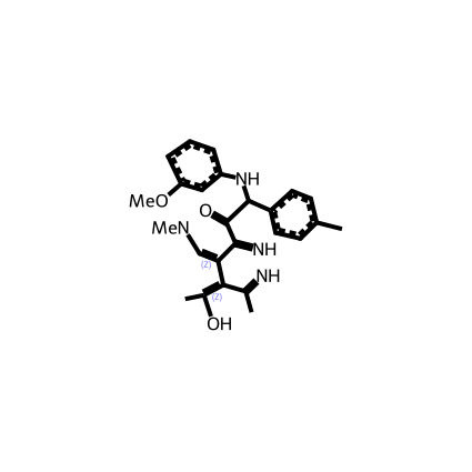 CN/C=C(C(=N)C(=O)C(Nc1cccc(OC)c1)c1ccc(C)cc1)/C(C(C)=N)=C(\C)O